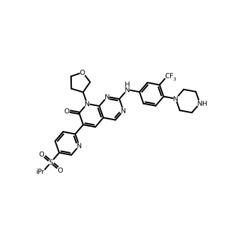 CC(C)S(=O)(=O)c1ccc(-c2cc3cnc(Nc4ccc(N5CCNCC5)c(C(F)(F)F)c4)nc3n(C3CCOC3)c2=O)nc1